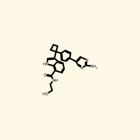 Nc1ncc(-c2ccc(C3(c4c[nH]c5c(C(=O)NCCO)cccc45)CCC3)cc2)cn1